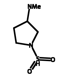 CNC1CCN([SH](=O)=O)C1